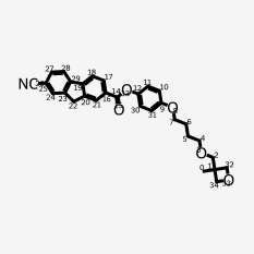 CC1(COCCCCOc2ccc(OC(=O)c3ccc4c(c3)Cc3cc(C#N)ccc3-4)cc2)COC1